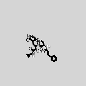 CC(C)(C)CC(NC(=O)/C=C/c1ccccc1)C(=O)NC(CC1CCNC1=O)C(=O)C(=O)NC1CC1